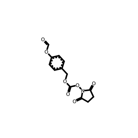 O=COc1ccc(COC(=O)ON2C(=O)CCC2=O)cc1